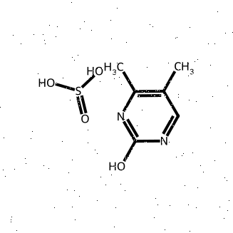 Cc1cnc(O)nc1C.O=S(O)O